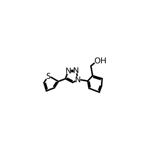 OCc1ccccc1-n1cc(-c2cccs2)nn1